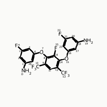 Nc1cc(F)cc(Oc2c(C(F)(F)F)cc(C(F)(F)F)c(Oc3cc(N)cc(F)c3)c2F)c1